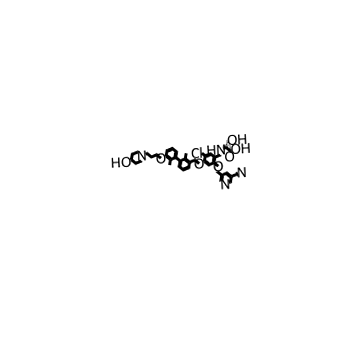 Cc1c(COc2cc(OCc3cncc(C#N)c3)c(CN[C@H](CO)C(=O)O)cc2Cl)cccc1-c1cccc(OCCCN2CCC(O)CC2)c1C